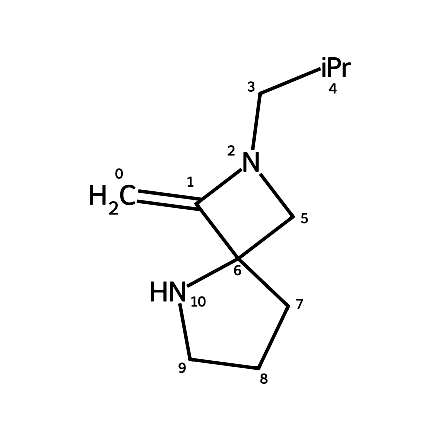 C=C1N(CC(C)C)CC12CCCN2